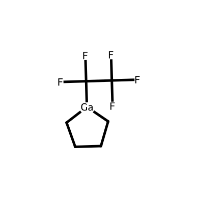 FC(F)(F)[C](F)(F)[Ga]1[CH2]CC[CH2]1